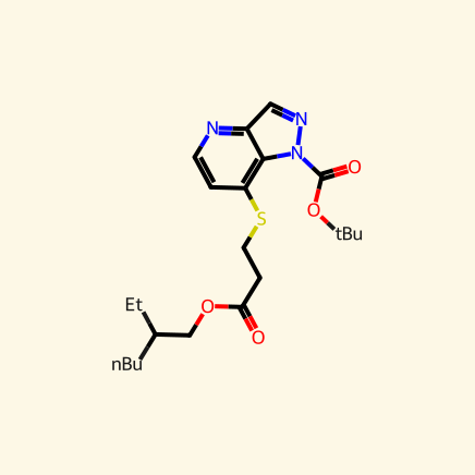 CCCCC(CC)COC(=O)CCSc1ccnc2cnn(C(=O)OC(C)(C)C)c12